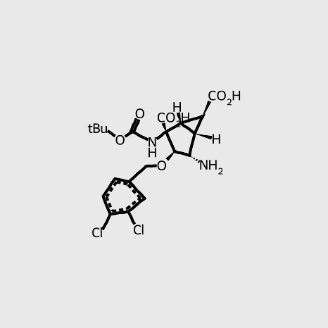 CC(C)(C)OC(=O)N[C@]1(C(=O)O)[C@@H]2[C@@H](C(=O)O)[C@@H]2[C@H](N)[C@H]1OCc1ccc(Cl)c(Cl)c1